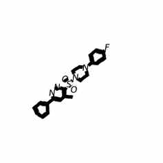 Cc1cc(-c2ccccc2)nnc1S(=O)(=O)N1CCN(c2ccc(F)cc2)CC1